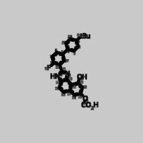 CC(C)(C)c1ccc(-c2ccc(F)c(-c3nc4c(ccc5cc(OC(=O)O)cc(O)c54)[nH]3)c2)cc1